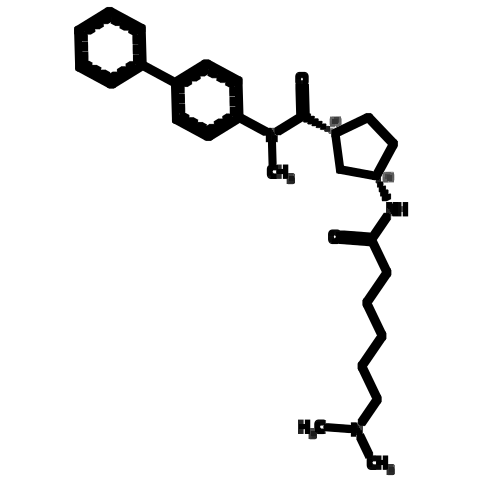 CN(C)CCCCCC(=O)N[C@H]1CC[C@@H](C(=O)N(C)c2ccc(-c3ccccc3)cc2)C1